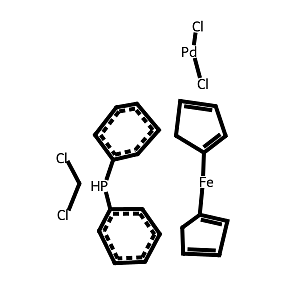 C1=CC[C]([Fe][C]2=CC=CC2)=C1.ClCCl.[Cl][Pd][Cl].c1ccc(Pc2ccccc2)cc1